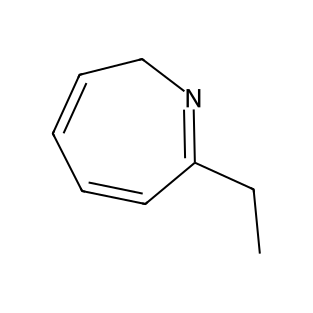 CCC1=NCC=CC=C1